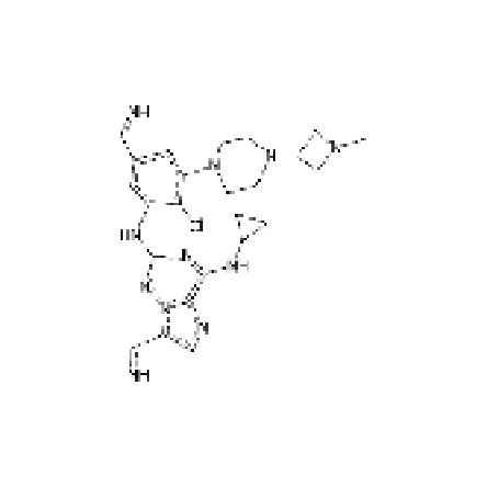 CN1CC(N2CCN(c3cc(C=N)cc(Nc4nc(NC5CC5)c5ncc(C=N)n5n4)c3Cl)CC2)C1